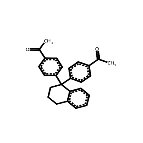 CC(=O)c1ccc(C2(c3ccc(C(C)=O)cc3)CCCc3ccccc32)cc1